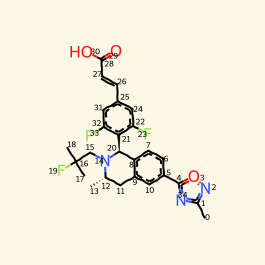 Cc1noc(-c2ccc3c(c2)C[C@H](C)N(CC(C)(C)F)[C@H]3c2c(F)cc(/C=C/C(=O)O)cc2F)n1